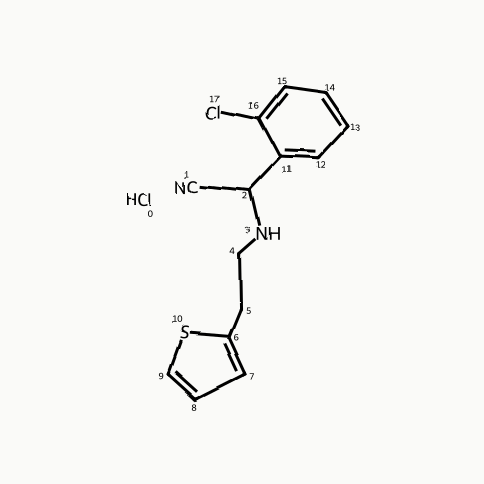 Cl.N#CC(NCCc1cccs1)c1ccccc1Cl